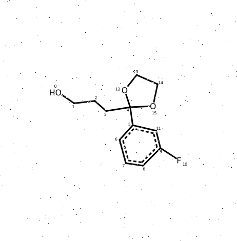 OCCCC1(c2cccc(F)c2)OCCO1